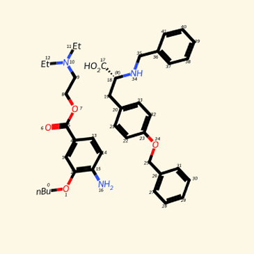 CCCCOc1cc(C(=O)OCCN(CC)CC)ccc1N.O=C(O)[C@@H](Cc1ccc(OCc2ccccc2)cc1)NCc1ccccc1